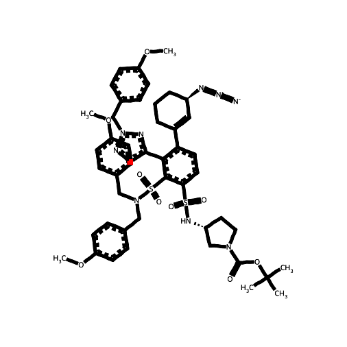 COc1ccc(CN(Cc2ccc(OC)cc2)S(=O)(=O)c2c(S(=O)(=O)N[C@@H]3CCN(C(=O)OC(C)(C)C)C3)ccc(C3=C[C@H](N=[N+]=[N-])CCC3)c2-c2nnn(Cc3ccc(OC)cc3)n2)cc1